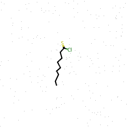 CCCCCCCCC(=S)Cl